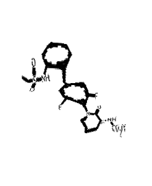 CS(=O)(=O)Nc1ccccc1-c1cc(F)c(N2CCC[C@@H](NC(=O)O)C2=O)c(F)c1